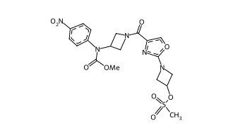 COC(=O)N(c1ccc([N+](=O)[O-])cc1)C1CN(C(=O)c2coc(N3CC(OS(C)(=O)=O)C3)n2)C1